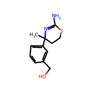 CC1(c2cccc(CO)c2)CCSC(N)=N1